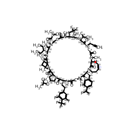 C#CCN1CC(=O)N(C)[C@H]2C/C=C\CCN(C2=O)[C@@H](Cc2ccc(C(F)F)cc2)C(=O)N(C)CC(=O)N[C@@H](CCc2cc(F)c(C(F)(F)F)c(F)c2)C(=O)N2C[C@H](OC(C)C)C[C@H]2C(=O)N(C)C2(CCC2)C(=O)N(C)[C@@H](C(CC)CC)C(=O)N(C)[C@H](C(=O)N(C)C)CC(=O)N(C)[C@@H](CC(F)(F)F)C(=O)N[C@@H](C(C)C)C1=O